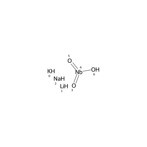 [KH].[LiH].[NaH].[O]=[Nb](=[O])[OH]